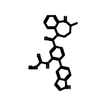 COC(=O)Nc1cc(C(=O)N2CCC(C)Nc3ccccc32)ccc1-c1ccc2[nH]ccc2c1